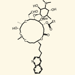 CCC(=O)O[C@@H]1CC(=O)O[C@@H](CCCc2cnc3ccccc3c2)CCCN(C)C[C@H](O)[C@H](C)C[C@H](CC=O)[C@H](O[C@@H]2OC(C)[C@@H](O)C(N(C)C)C2O)[C@H]1OC